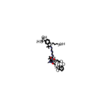 CN(OCC(=O)ON1C(=O)CCC1=O)C(=O)C1=C\N/N=C(/C=C/C=C/C=C2/N(CCCSO)c3ccc(B(O)O)cc3C2(C)C)C(C)(C)\C(CCCSO)=C\1